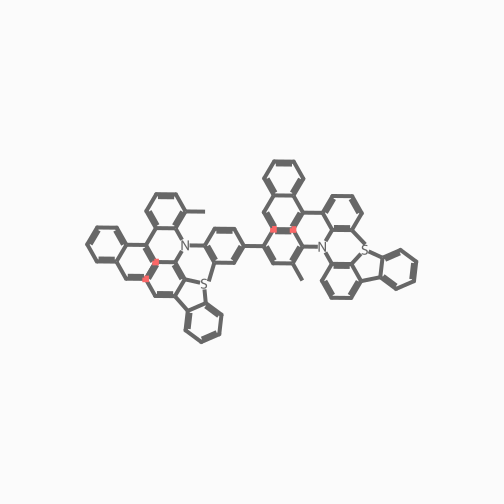 Cc1cc(-c2ccc(N(c3c(C)cccc3-c3cccc4ccccc34)c3cccc4c3sc3ccccc34)c(C)c2)ccc1N(c1c(C)cccc1-c1cccc2ccccc12)c1cccc2c1sc1ccccc12